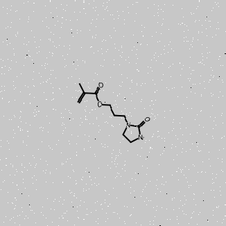 C=C(C)C(=O)OCCCN1CC[N]C1=O